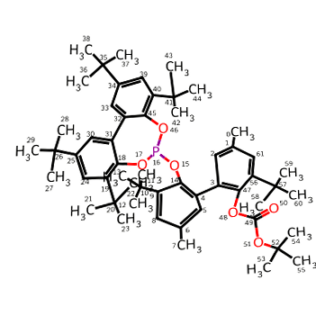 Cc1cc(-c2cc(C)cc(C(C)(C)C)c2Op2oc3c(C(C)(C)C)cc(C(C)(C)C)cc3c3cc(C(C)(C)C)cc(C(C)(C)C)c3o2)c(OC(=O)OC(C)(C)C)c(C(C)(C)C)c1